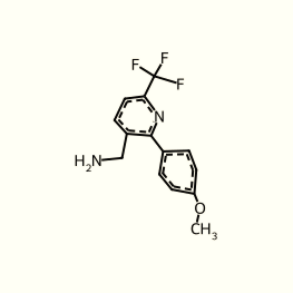 COc1ccc(-c2nc(C(F)(F)F)ccc2CN)cc1